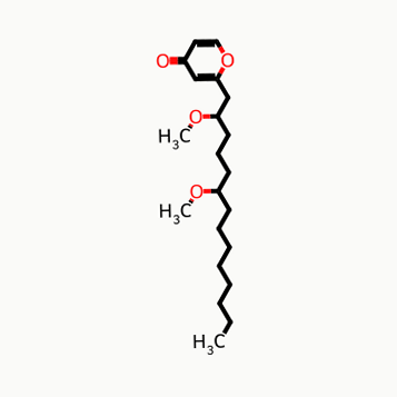 CCCCCCCCC(CCCC(Cc1cc(=O)cco1)OC)OC